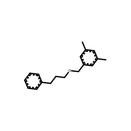 Cc1cc(C)cc(COCCCc2ccccc2)c1